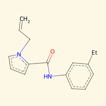 C=CCn1cccc1C(=O)Nc1cccc(CC)c1